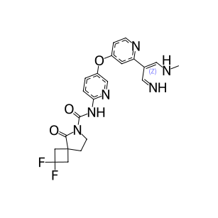 CN/C=C(\C=N)c1cc(Oc2ccc(NC(=O)N3CCC4(CC(F)(F)C4)C3=O)nc2)ccn1